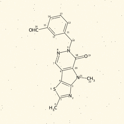 Cc1nc2c(s1)c1cnn(Cc3cccc(C=O)c3)c(=O)c1n2C